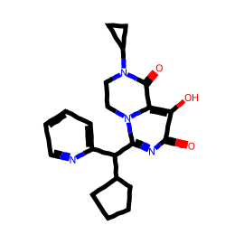 O=C1c2c(O)c(=O)nc(C(c3ccccn3)C3CCCC3)n2CCN1C1CC1